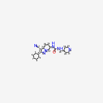 N#Cc1c(-c2ccccc2)nn2cc(NC(=O)NCc3ccncc3)ccc12